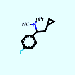 CCCN(C#N)C(CC1CC1)c1ccc(F)cc1